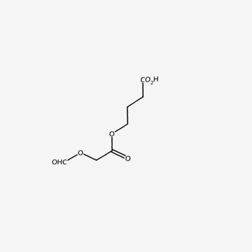 O=COCC(=O)OCCCC(=O)O